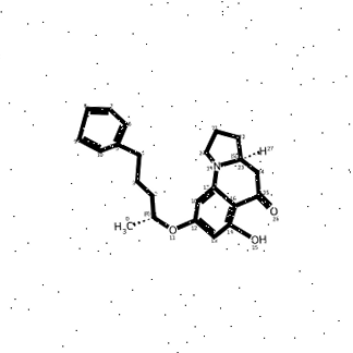 C[C@H](CCCc1ccccc1)Oc1cc(O)c2c(c1)N1CCC[C@H]1CC2=O